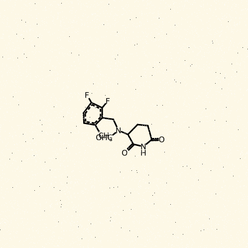 Cc1ccc(F)c(F)c1CN(C=O)C1CCC(=O)NC1=O